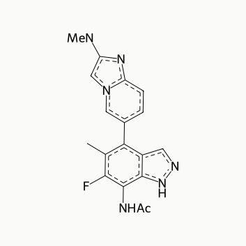 CNc1cn2cc(-c3c(C)c(F)c(NC(C)=O)c4[nH]ncc34)ccc2n1